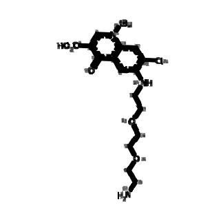 CC(C)(C)n1cc(C(=O)O)c(=O)c2cc(NCCOCCOCCN)c(Cl)cc21